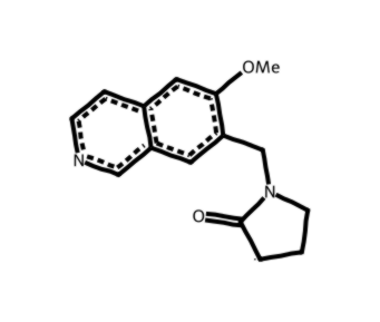 COc1cc2ccncc2cc1CN1CC[CH]C1=O